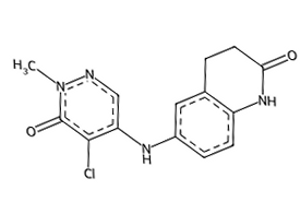 Cn1ncc(Nc2ccc3c(c2)CCC(=O)N3)c(Cl)c1=O